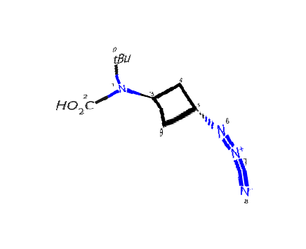 CC(C)(C)N(C(=O)O)[C@H]1C[C@H](N=[N+]=[N-])C1